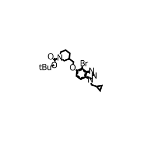 CC(C)(C)OC(=O)N1CCCC(COc2ccc3c(nnn3CC3CC3)c2Br)C1